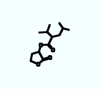 CC(C)CC(C(=O)OC1CCOC1=O)C(C)C